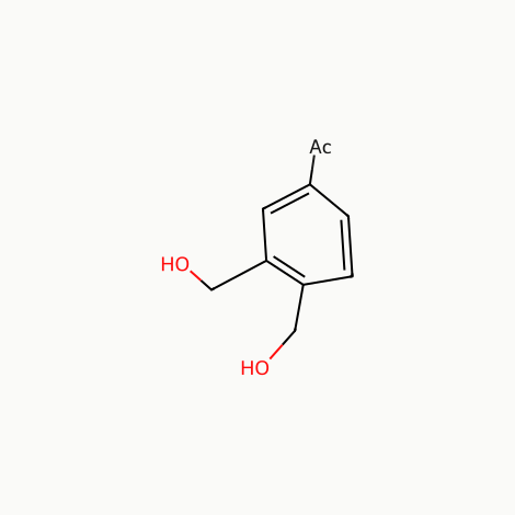 CC(=O)c1ccc(CO)c(CO)c1